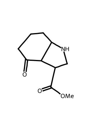 COC(=O)C1CNC2CCCC(=O)C21